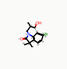 CC(CO)CN1C(=O)C(C)(C)c2ccc(Br)cc21